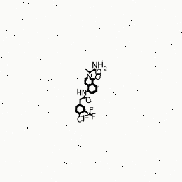 CC(C(N)=O)n1ccc2c(NC(=O)Cc3ccc(Cl)c(C(F)(F)F)c3)cccc2c1=O